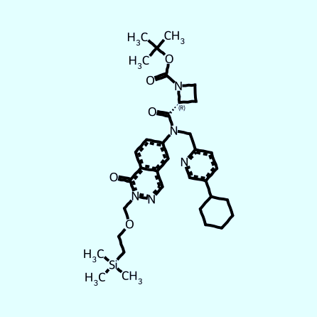 CC(C)(C)OC(=O)N1CC[C@@H]1C(=O)N(Cc1ccc(C2CCCCC2)cn1)c1ccc2c(=O)n(COCC[Si](C)(C)C)ncc2c1